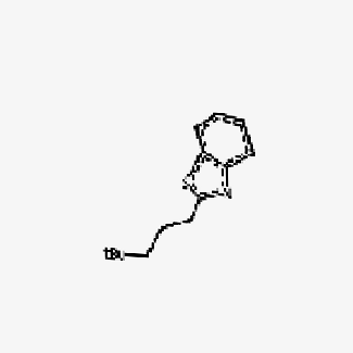 CC(C)(C)CCCc1nc2ccccc2s1